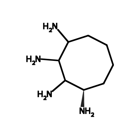 NC1CCCC[C@H](N)C(N)C1N